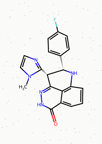 Cn1ccnc1[C@H]1c2n[nH]c(=O)c3cccc(c23)N[C@H]1c1ccc(F)cc1